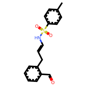 Cc1ccc(S(=O)(=O)NC=CCc2ccccc2C=O)cc1